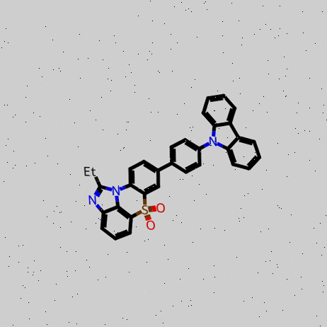 CCc1nc2cccc3c2n1-c1ccc(-c2ccc(-n4c5ccccc5c5ccccc54)cc2)cc1S3(=O)=O